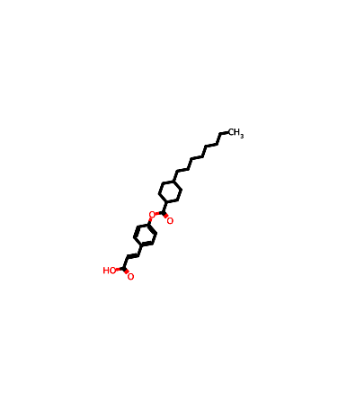 CCCCCCCCC1CCC(C(=O)Oc2ccc(/C=C/C(=O)O)cc2)CC1